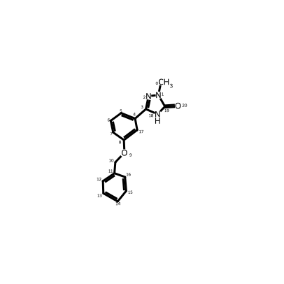 Cn1nc(-c2cccc(OCc3ccccc3)c2)[nH]c1=O